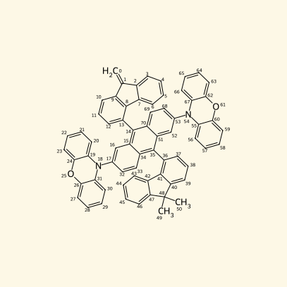 C=C1c2ccccc2-c2c1cccc2-c1c2cc(N3c4ccccc4Oc4ccccc43)ccc2c(-c2cccc3c2-c2ccccc2C3(C)C)c2cc(N3c4ccccc4Oc4ccccc43)ccc12